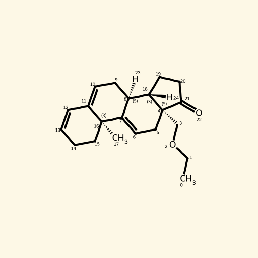 CCOC[C@]12CC=C3[C@@H](CC=C4C=CCC[C@@]43C)[C@@H]1CCC2=O